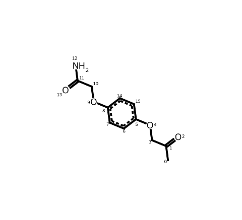 CC(=O)COc1ccc(OCC(N)=O)cc1